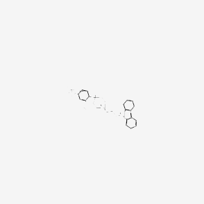 COc1ccc(C2(O)CCN(CCCn3c4ccccc4c4ccccc43)CC2)c(OC)c1